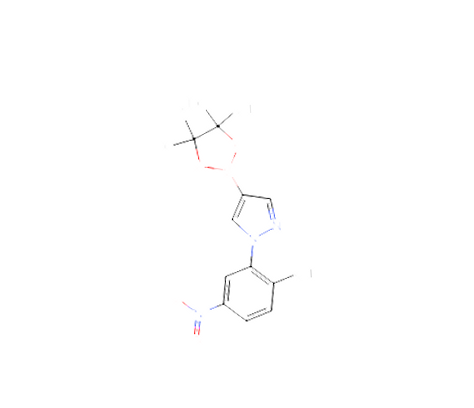 Cc1ccc([N+](=O)[O-])cc1-n1cc(B2OC(C)(C)C(C)(C)O2)cn1